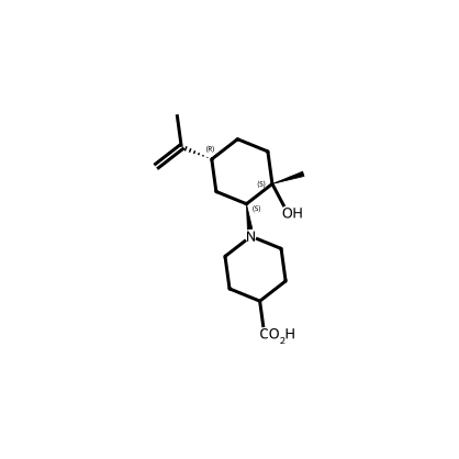 C=C(C)[C@@H]1CC[C@](C)(O)[C@@H](N2CCC(C(=O)O)CC2)C1